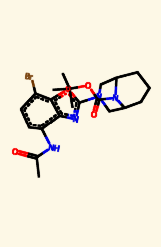 CC(=O)Nc1ccc(Br)c2oc(N3CC4CCCC(C3)N4C(=O)OC(C)(C)C)nc12